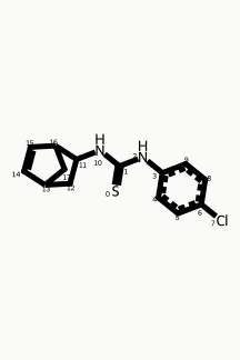 S=C(Nc1ccc(Cl)cc1)NC1CC2C=CC1C2